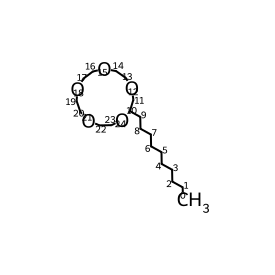 CCCCCCCCCCC1COCCOCCOCCOCCO1